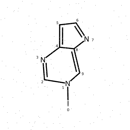 In1cnc2ccnc-2c1